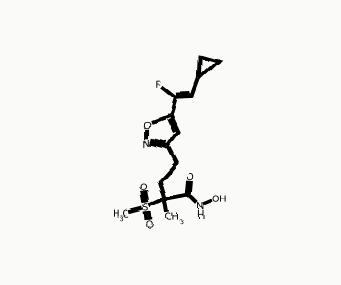 CC(CCc1cc(C(F)=CC2CC2)on1)(C(=O)NO)S(C)(=O)=O